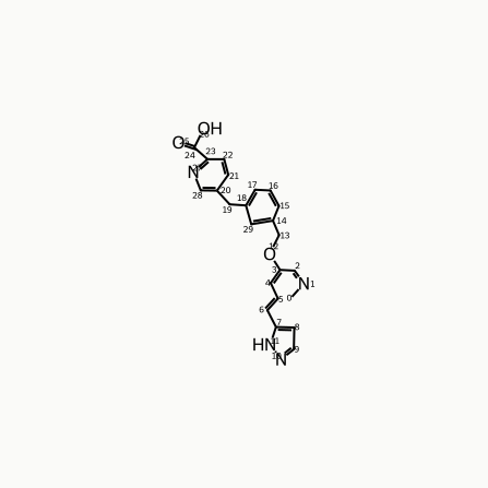 C\N=C/C(=C\C=C\c1ccn[nH]1)OCc1cccc(Cc2ccc(C(=O)O)nc2)c1